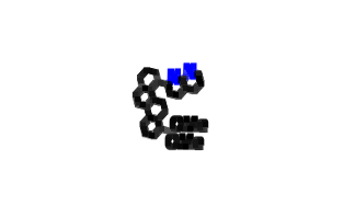 COC(OC)c1cccc2c1CC=c1c-2ccc2c1=C(c1ccc3cccnc3n1)CCC2